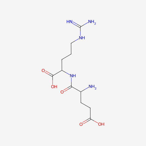 N=C(N)NCCCC(NC(=O)C(N)CCC(=O)O)C(=O)O